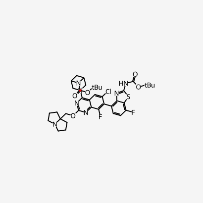 CC(C)(C)OC(=O)Nc1nc2c(-c3c(Cl)cc4c(N5CC6CC(C5)N6C(=O)OC(C)(C)C)nc(OCC56CCCN5CCC6)nc4c3F)ccc(F)c2s1